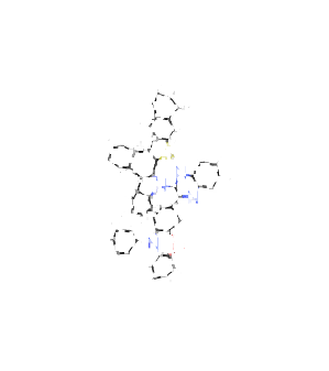 c1ccc(N2c3ccccc3Oc3cc(-c4nc5ccccc5nc4-n4c5ccccc5c5c6ccccc6c6c7cc8ccccc8cc7sc6c54)ccc32)cc1